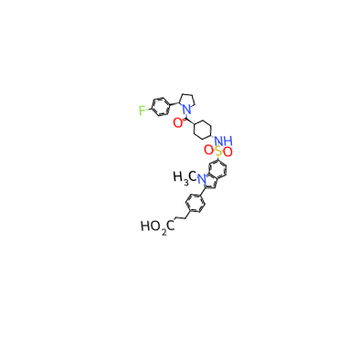 Cn1c(-c2ccc(CCC(=O)O)cc2)cc2ccc(S(=O)(=O)N[C@H]3CC[C@H](C(=O)N4CCC[C@@H]4c4ccc(F)cc4)CC3)cc21